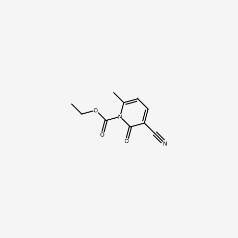 CCOC(=O)n1c(C)[c]cc(C#N)c1=O